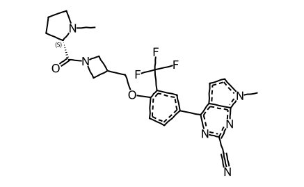 CN1CCC[C@H]1C(=O)N1CC(COc2ccc(-c3nc(C#N)nc4c3ccn4C)cc2C(F)(F)F)C1